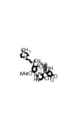 COc1cc(N(C)CCCN2CCN(C)CC2)c(C)cc1Nc1ncc(Cl)c(Nc2cc(Cl)c(Cl)cc2NS(C)(=O)=O)n1